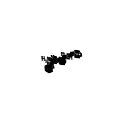 Nc1ncc(-c2cccc(C(=O)NCCCN3CCOCC3)c2)cc1-c1nc2ccccc2s1